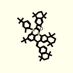 Cc1cc(C(C)(C)C)ccc1N1c2cc(C(C)(C)C)cc3c2B(C2=C(C=C4C(C2)C(C)(C)CCC4(C)C)/C3=C\c2ccc3c(c2)C(C)(C)CCC3(C)C)c2oc3cc4c(cc3c21)C(C)(C)CCC4(C)C